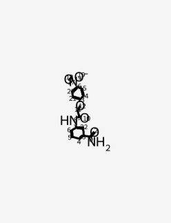 NC(=O)c1cccc(NC(=O)COc2ccc([N+](=O)[O-])cc2)c1